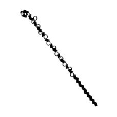 CCCCCCCCC=CCCCCCCCCOCCOCCOCCOCCOCCOCCOCCOCCOCCOCCOC(=O)CCN1CCN(C)CC1